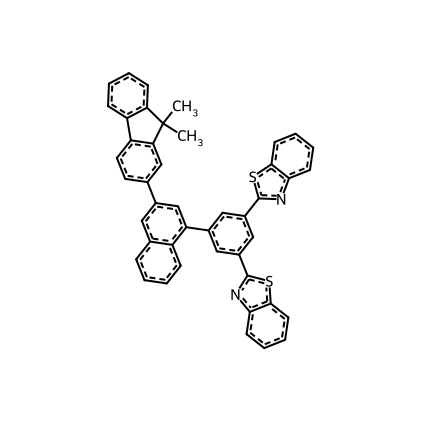 CC1(C)c2ccccc2-c2ccc(-c3cc(-c4cc(-c5nc6ccccc6s5)cc(-c5nc6ccccc6s5)c4)c4ccccc4c3)cc21